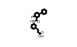 O=C(O)C=Cc1cccc(NC(=O)c2cc(-c3ccccc3)ccc2F)c1